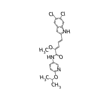 COC(=CC=Cc1cc2cc(Cl)c(Cl)cc2[nH]1)C(=O)Nc1ccc(OC(C)C)nc1